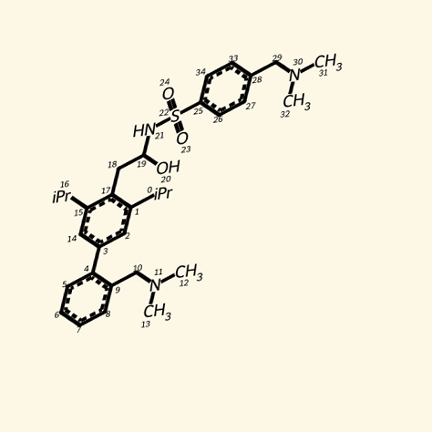 CC(C)c1cc(-c2ccccc2CN(C)C)cc(C(C)C)c1CC(O)NS(=O)(=O)c1ccc(CN(C)C)cc1